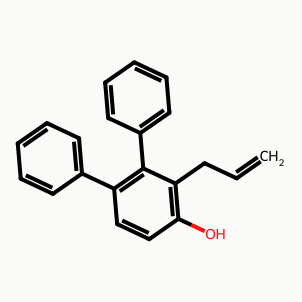 C=CCc1c(O)ccc(-c2ccccc2)c1-c1ccccc1